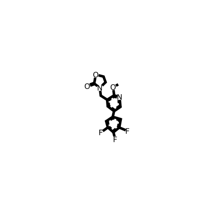 COc1ncc(-c2cc(F)c(F)c(F)c2)cc1CN1CCOC1=O